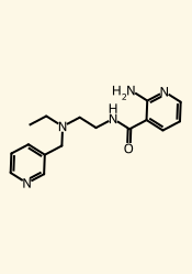 CCN(CCNC(=O)c1cccnc1N)Cc1cccnc1